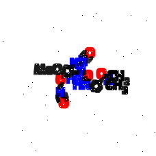 COc1cc2nc(N3CCOCC3)nc(NC(=O)Nc3cccc(C(=O)N(C)C)c3)c2cc1OCCN1CCOCC1